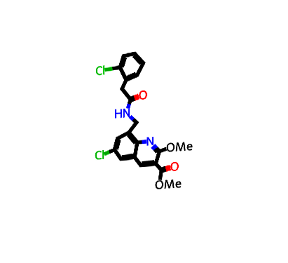 COC(=O)c1cc2cc(Cl)cc(CNC(=O)Cc3ccccc3Cl)c2nc1OC